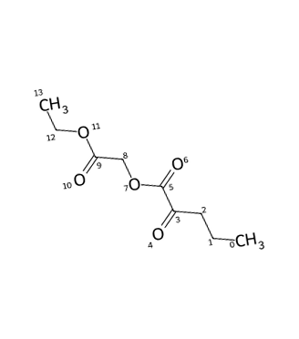 CCCC(=O)C(=O)OCC(=O)OCC